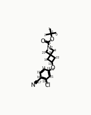 CC(C)(C)OC(=O)N1CC2(CC(Oc3ccc(C#N)c(Cl)c3)C2)C1